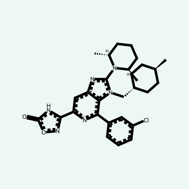 C[C@@H]1CCC[C@@H](C)N1c1nc2cc(-c3noc(=O)[nH]3)nc(-c3cccc(Cl)c3)c2n1C[C@H]1CC[C@H](C)CC1